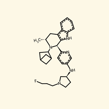 C[C@@H]1Cc2c([nH]c3ccccc23)[C@@H](c2ccc(N[C@H]3CCN(CCCF)C3)cn2)N1C1CC2CC1C2